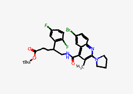 Cc1c(N2CCCC2)nc2ccc(Br)cc2c1C(=O)NCC(CCC(=O)OC(C)(C)C)c1cc(F)ccc1F